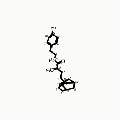 O=C(NCCc1ccc(F)cc1)C(O)CCC12CC3CC(CC(C3)C1)C2